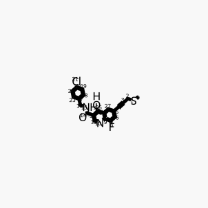 CSCC#Cc1cc(F)c2ncc(C(=O)NCc3ccc(Cl)cc3)c(O)c2c1